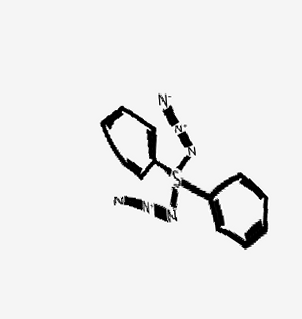 [N-]=[N+]=NS(N=[N+]=[N-])(c1ccccc1)c1ccccc1